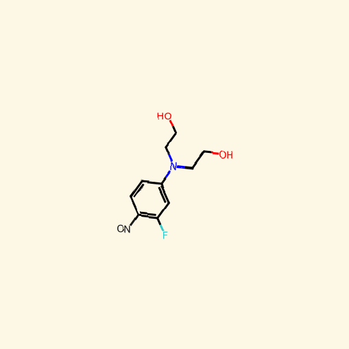 O=Nc1ccc(N(CCO)CCO)cc1F